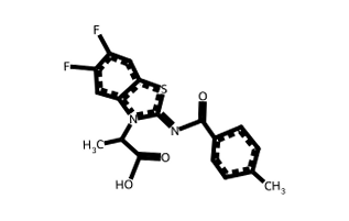 Cc1ccc(C(=O)/N=c2\sc3cc(F)c(F)cc3n2C(C)C(=O)O)cc1